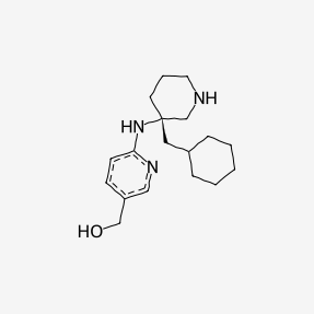 OCc1ccc(N[C@]2(CC3CCCCC3)CCCNC2)nc1